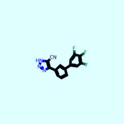 N#Cc1[nH]nnc1-c1cccc(-c2cc(F)c(F)c(F)c2)c1